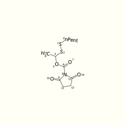 CCCCCSSC(C)OC(=O)N1C(=O)CCC1=O